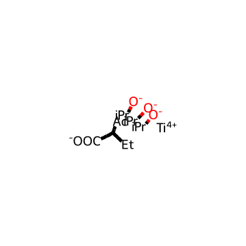 CC(C)[O-].CC(C)[O-].CC(C)[O-].CCC(C(C)=O)C(=O)[O-].[Ti+4]